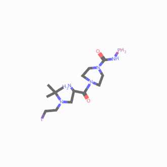 CC(C)(C)N(CCI)CC(N)C(=O)N1CCN(C(=O)NP)CC1